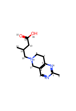 Cc1ncc2c(n1)CCN(CC(C)CC(=O)O)C2